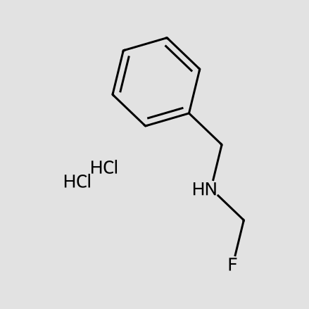 Cl.Cl.FCNCc1ccccc1